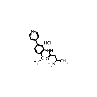 COc1ccc(-c2ccncc2)cc1NC(=O)CC(C)N.Cl